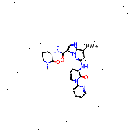 CNc1cc(Nc2cccn(-c3ccccn3)c2=O)nn2c(C(=O)N[C@H]3CCCN(C)C3=O)cnc12